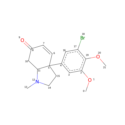 COc1cc(C23C=CC(=O)CC2N(C)CC3)cc(Br)c1OC